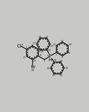 Clc1ccc(C[PH](c2ccccc2)(c2ccccc2)c2ccccc2)c(Br)c1